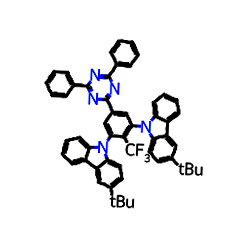 CC(C)(C)c1ccc2c(c1)c1ccccc1n2-c1cc(-c2nc(-c3ccccc3)nc(-c3ccccc3)n2)cc(-n2c3ccccc3c3cc(C(C)(C)C)ccc32)c1C(F)(F)F